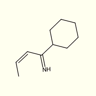 C/C=C\C(=N)C1CCCCC1